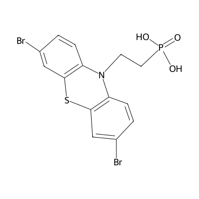 O=P(O)(O)CCN1c2ccc(Br)cc2Sc2cc(Br)ccc21